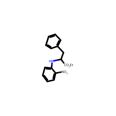 CCOC(=O)C(Cc1ccccc1)Nc1ccccc1[N+](=O)[O-]